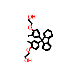 Cc1cc(C2(c3ccc(OCCO)c(C)c3)c3ccccc3-c3ccccc32)ccc1OCCO